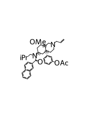 C=CCN1CC[C@@]2(c3cccc(OC(C)=O)c3)C[C@@H](N(CC(C)C)C(=O)c3ccc4ccccc4c3)CC[C@]2(OC)C1